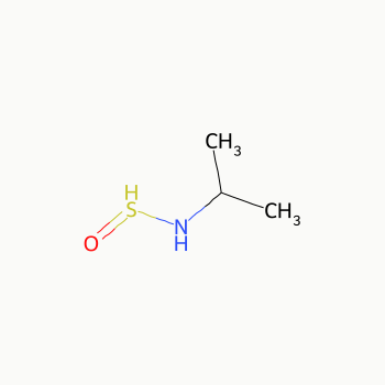 CC(C)N[SH]=O